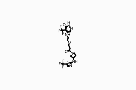 O=C(CCOCCNc1cn[nH]c(=O)c1C(F)(F)F)N1CCC(Nc2ncc(C(F)(F)F)s2)C1